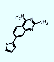 Nc1nc(N)c2ccc(-c3cccs3)cc2n1